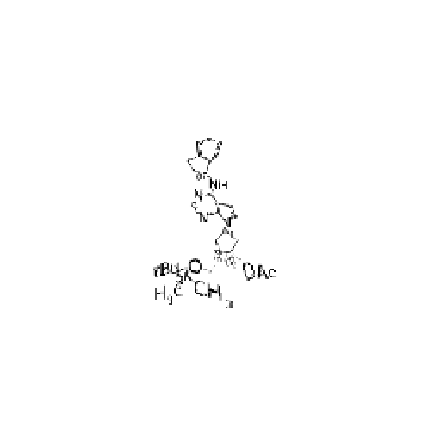 CC(=O)O[C@H]1C[C@@H](n2ccc3c(N[C@H]4CCc5ccccc54)ncnc32)C[C@H]1CO[Si](C)(C)C(C)(C)C